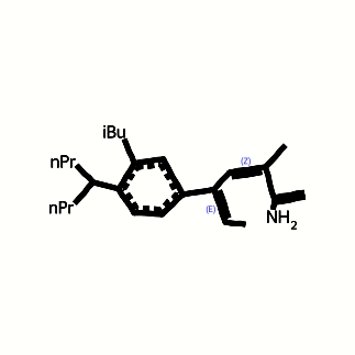 C=C(N)/C(C)=C\C(=C/C)c1ccc(C(CCC)CCC)c(C(C)CC)c1